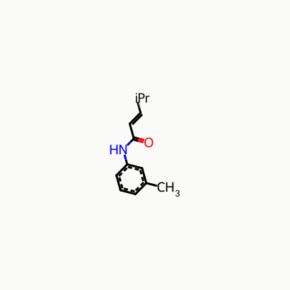 Cc1cccc(NC(=O)/C=C/C(C)C)c1